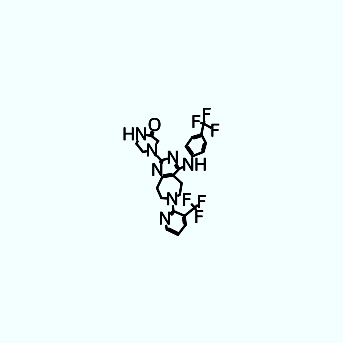 O=C1CN(c2nc3c(c(Nc4ccc(C(F)(F)F)cc4)n2)CCN(c2ncccc2C(F)(F)F)CC3)CCN1